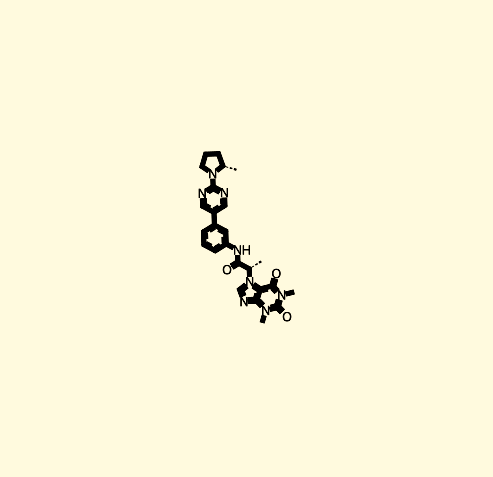 C[C@H]1CCCN1c1ncc(-c2cccc(NC(=O)[C@H](C)n3cnc4c3c(=O)n(C)c(=O)n4C)c2)cn1